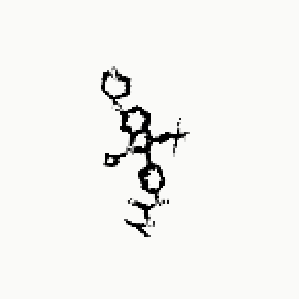 CC(C)OC(=O)Nc1ccc(-c2c(C#CC(F)(F)F)c3ccc(OC4CCOCC4)cc3n2C2CCC2)cc1